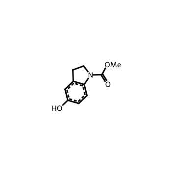 COC(=O)N1CCc2cc(O)ccc21